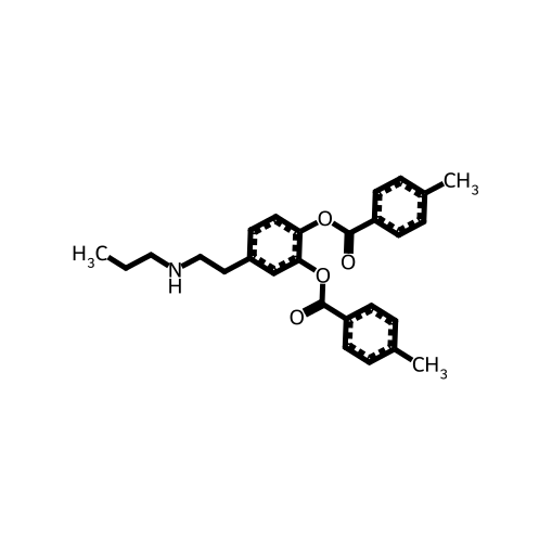 CCCNCCc1ccc(OC(=O)c2ccc(C)cc2)c(OC(=O)c2ccc(C)cc2)c1